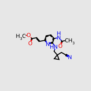 COC(=O)/C=C/c1ccc(NC(C)=O)c(NCC2(CC#N)CC2)n1